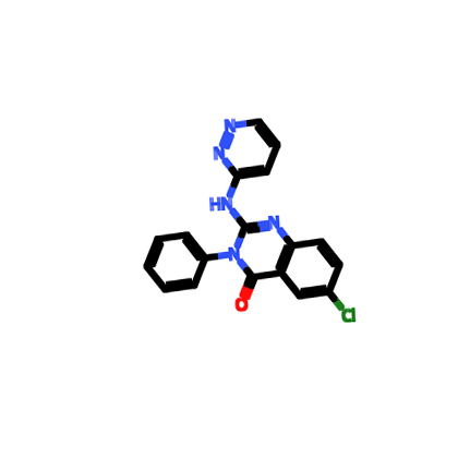 O=c1c2cc(Cl)ccc2nc(Nc2cccnn2)n1-c1ccccc1